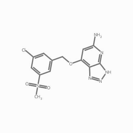 CS(=O)(=O)c1cc(Cl)cc(COc2cc(N)nc3[nH]nnc23)c1